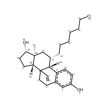 C=CC12CCc3cc(O)ccc3[C@H]1[C@@H](CCCCCCCl)C[C@]1(C)[C@@H](O)CC[C@@H]21